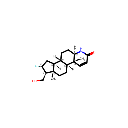 C[C@]12C=CC(=O)N[C@@H]1CC[C@@H]1[C@@H]2CC[C@@]2(C)[C@H]1C[C@@H](F)[C@@H]2CO